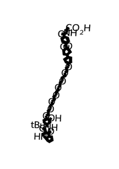 CC(C)(C)c1cc(OCCOCCOCCOCCOCCOCCOCCOc2ccc(C3CCN(S(=O)(=O)c4ccc(C(=O)NCC(=O)O)cc4)CC3)cc2)c(O)cc1NC(=O)c1c[nH]c2ccccc2c1=O